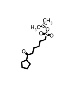 C[S+](C)OS(=O)(=O)CCCCCC(=O)C1CCCC1